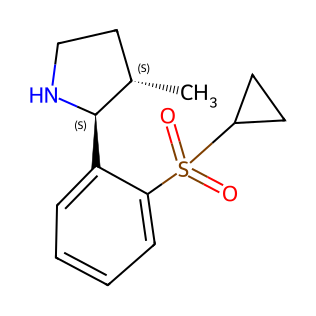 C[C@H]1CCN[C@@H]1c1ccccc1S(=O)(=O)C1CC1